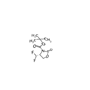 CC(C)(C)OC(=O)N1[C@@H](C(F)F)COS1=O